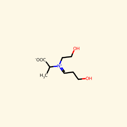 CC(C(=O)[O-])[N+](=CCCO)CCO